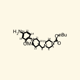 CCCCOC(=O)N1CCN(CC2CCN(c3ccc(N)cc3OC)CC2)CC1